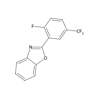 Fc1ccc(C(F)(F)F)cc1-c1nc2ccccc2o1